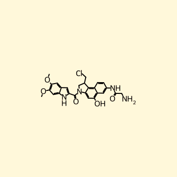 COc1cc2cc(C(=O)N3CC(CCl)c4c3cc(O)c3cc(NC(=O)CN)ccc43)[nH]c2cc1OC